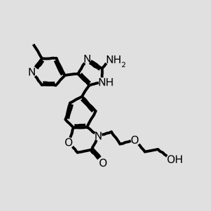 Cc1cc(-c2nc(N)[nH]c2-c2ccc3c(c2)N(CCOCCO)C(=O)CO3)ccn1